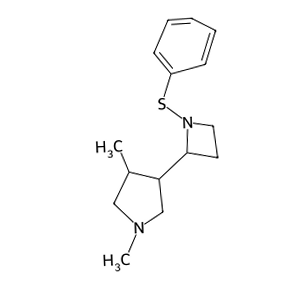 CC1CN(C)CC1C1CCN1Sc1ccccc1